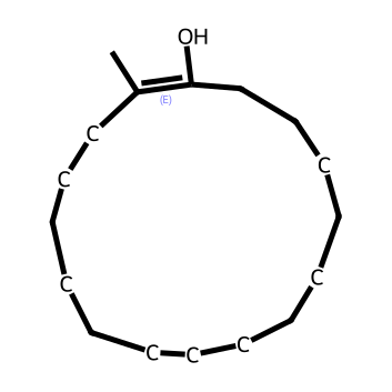 C/C1=C(\O)CCCCCCCCCCCCCC1